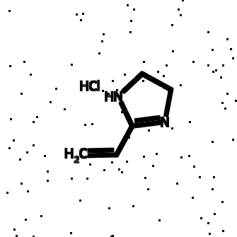 C=CC1=NCCN1.Cl